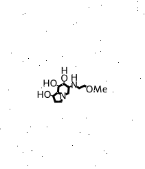 COCCN[C@H]1CN2CC[C@H](O)C2[C@@H](O)[C@@H]1O